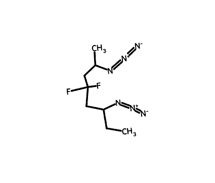 CCC(CC(F)(F)CC(C)N=[N+]=[N-])N=[N+]=[N-]